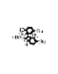 CCCCCCCCCCCC(C1(C(C)(C)C)C=C(C(C)(C)C)C=CC1O)C1(C(C)(C)C)C=C(C(C)(C)C)C=CC1O